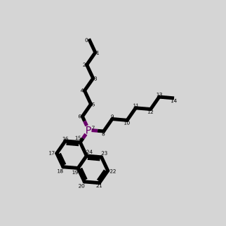 CCCCCCCP(CCCCCCC)c1cccc2ccccc12